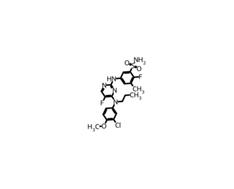 CCCN(c1ccc(OC)c(Cl)c1)c1nc(Nc2cc(C)c(F)c(S(N)(=O)=O)c2)ncc1F